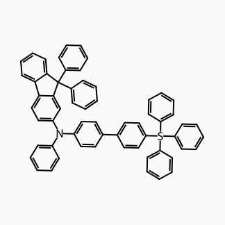 c1ccc(N(c2ccc(-c3ccc(S(c4ccccc4)(c4ccccc4)c4ccccc4)cc3)cc2)c2ccc3c(c2)C(c2ccccc2)(c2ccccc2)c2ccccc2-3)cc1